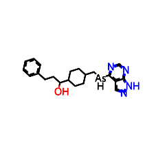 OC(CCc1ccccc1)C1CCC(C[AsH]c2ncnc3[nH]ncc23)CC1